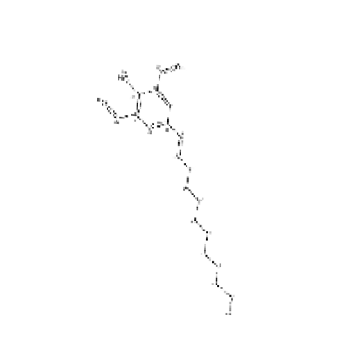 CCCCCCCCCCC=Cc1cc(C=O)c(O)c(C=O)c1